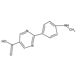 CNc1ccc(-c2ncc(C(=O)O)cn2)cc1